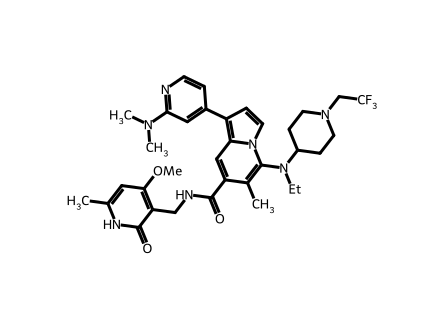 CCN(c1c(C)c(C(=O)NCc2c(OC)cc(C)[nH]c2=O)cc2c(-c3ccnc(N(C)C)c3)ccn12)C1CCN(CC(F)(F)F)CC1